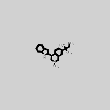 CN1Cc2cc(C(C)(C)CN)ccc2C(c2cc3ccccc3[nH]2)C1